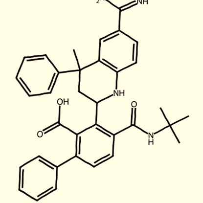 CC(C)(C)NC(=O)c1ccc(-c2ccccc2)c(C(=O)O)c1C1CC(C)(c2ccccc2)c2cc(C(=N)N)ccc2N1